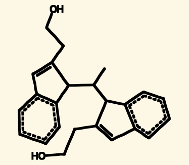 CC(C1C(CCO)=Cc2ccccc21)C1C(CCO)=Cc2ccccc21